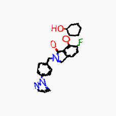 O=C1c2c(ccc(F)c2OC2CCCCC2O)CN1Cc1ccc(-n2cccn2)cc1